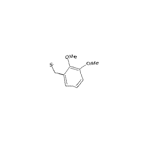 COc1cccc(C[S])c1OC